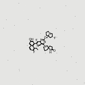 CCc1c(F)ccc2cc(O)cc(-c3ncc4c(N5CCCC6(CCC(=O)N6)C5)nc(OC[C@@]56CCCN5C[C@H](F)C6)nc4c3F)c12